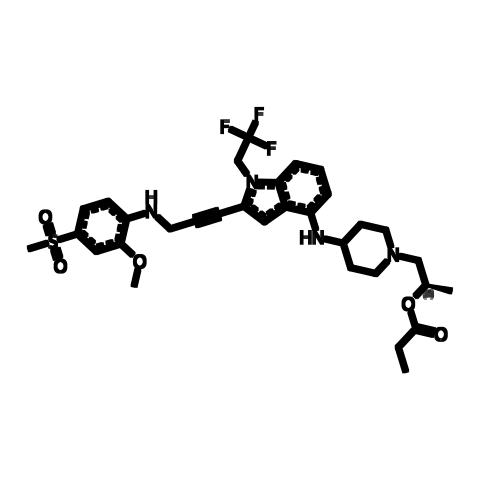 CCC(=O)O[C@H](C)CN1CCC(Nc2cccc3c2cc(C#CCNc2ccc(S(C)(=O)=O)cc2OC)n3CC(F)(F)F)CC1